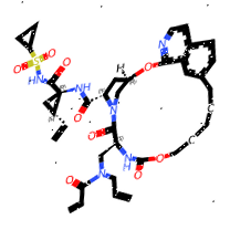 C=CCN(C[C@@H]1NC(=O)OCCCCCc2ccc3ccnc(c3c2)O[C@@H]2C[C@@H](C(=O)N[C@]3(C(=O)NS(=O)(=O)C4CC4)C[C@H]3C=C)N(C2)C1=O)C(=O)C=C